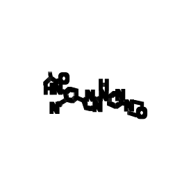 CC(C)C(=O)Nc1ccc(-c2ccnc(Nc3ccc(N4CCOCC4)nc3)n2)cc1C#N